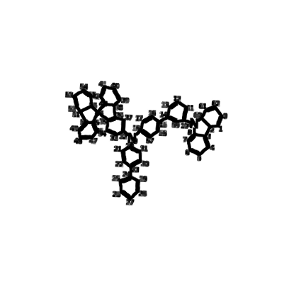 C1=CC2c3ccccc3N(c3cccc(-c4ccc(N(c5ccc(-c6ccccc6)cc5)c5ccc6c(c5)C5C=CC=CC5C65c6ccccc6C6C=CC=CC65)cc4)c3)C2C=C1